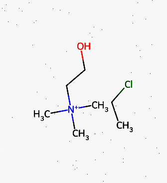 CCCl.C[N+](C)(C)CCO